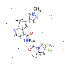 C/C(=C\c1cnccc1C(=O)NCC(=O)N1CC(F)(F)CC1C#N)c1cnn(C)c1